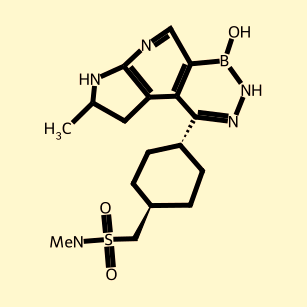 CNS(=O)(=O)C[C@H]1CC[C@H](C2=NNB(O)c3cnc4c(c32)CC(C)N4)CC1